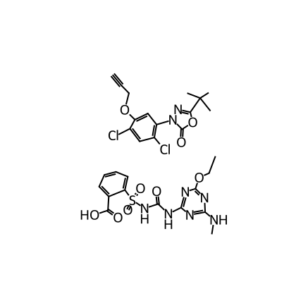 C#CCOc1cc(-n2nc(C(C)(C)C)oc2=O)c(Cl)cc1Cl.CCOc1nc(NC)nc(NC(=O)NS(=O)(=O)c2ccccc2C(=O)O)n1